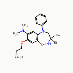 CCCCC1(CC)CN(c2ccccc2)c2cc(N(C)C)c(OCCC(=O)O)cc2SN1